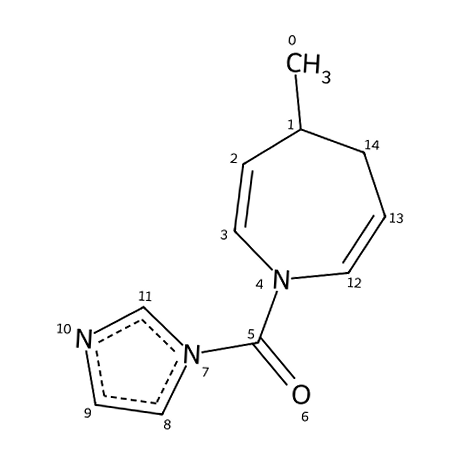 CC1C=CN(C(=O)n2ccnc2)C=CC1